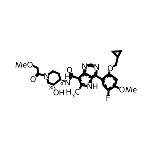 COCC(=O)N1CC[C@@H](NC(=O)c2c(C)[nH]c3c(-c4cc(F)c(OC)cc4OCC4CC4)ncnc23)[C@H](O)C1